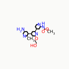 COC(=O)Nc1cc(-c2cc(-c3cc(N)cnc3C)cc(OCCO)n2)ccn1